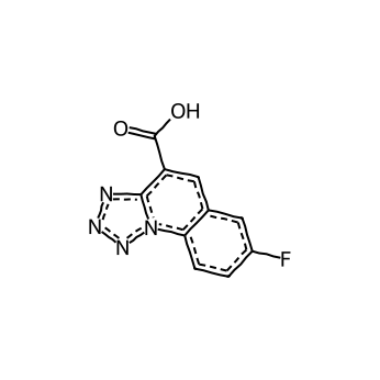 O=C(O)c1cc2cc(F)ccc2n2nnnc12